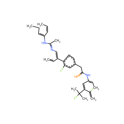 C=C/C(=C\N=C(/C)NC(/C=C\C)=C/CC)c1ccc(CC(=P)NC(/C=C(\C(=C)F)C(C)(C)F)=C/C)cc1F